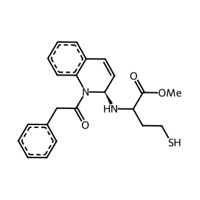 COC(=O)C(CCS)N[C@@H]1C=Cc2ccccc2N1C(=O)Cc1ccccc1